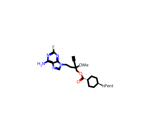 C#CC(CCn1cnc2c(N)nc(F)nc21)(COC(=O)[C@H]1CC[C@H](CCCCC)CC1)OC